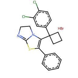 Br.Clc1ccc(C2(C3=C(c4ccccc4)SC4=NCCN43)CCC2)cc1Cl